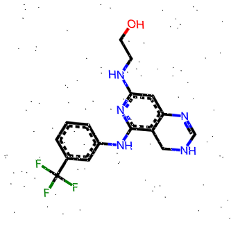 OCCNc1cc2c(c(Nc3cccc(C(F)(F)F)c3)n1)CNC=N2